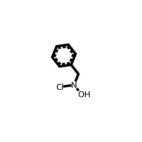 ON(Cl)Cc1ccccc1